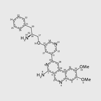 COc1cc2ncc3c(N)nc(-c4cncc(OC[C@@H](N)Cc5ccccc5)c4)cc3c2cc1OC